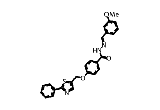 COc1cccc(/C=N/NC(=O)c2ccc(OCc3cnc(-c4ccccc4)s3)cc2)c1